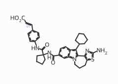 Nc1nc2c(s1)CCCn1c-2c(C2CCCCC2)c2ccc(C(=O)NC3(C(=O)Nc4ccc(/C=C/C(=O)O)cc4)CCCC3)cc21